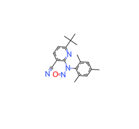 Cc1cc(C)c(N(N=O)c2nc(C(C)(C)C)ccc2C#N)c(C)c1